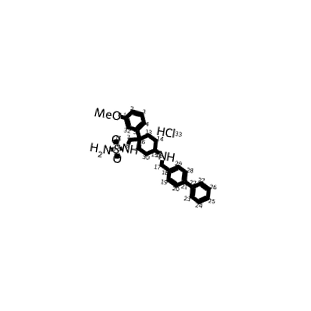 COc1cccc(C2(CNS(N)(=O)=O)CCC(NCc3ccc(-c4ccccc4)cc3)CC2)c1.Cl